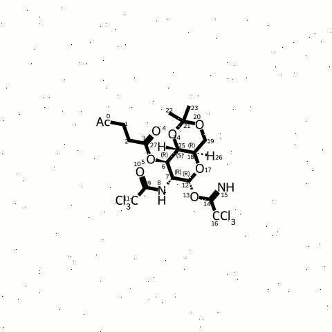 CC(=O)CCC(=O)O[C@@H]1[C@@H](NC(=O)C(Cl)(Cl)Cl)[C@@H](OC(=N)C(Cl)(Cl)Cl)O[C@@H]2COC(C)(C)O[C@@H]12